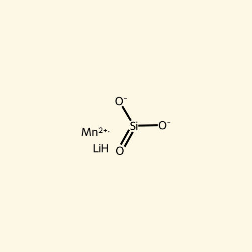 O=[Si]([O-])[O-].[LiH].[Mn+2]